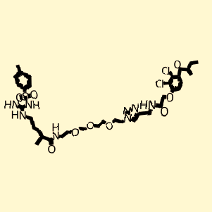 C=C(CC)C(=O)c1ccc(OCC(=O)NCc2cn(CCOCCOCCOCCNC(=O)C(C)CCCNC(=N)NS(=O)(=O)c3ccc(C)cc3)nn2)c(Cl)c1Cl